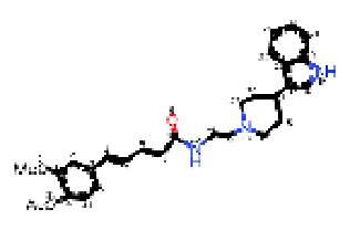 COc1cc(C=CC=CC(=O)NCCN2CCC(c3c[nH]c4ccccc34)CC2)ccc1OC(C)=O